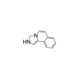 C1=CN2CNC=C2c2ccccc21